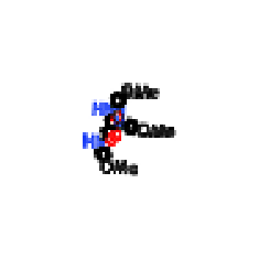 COc1ccc(NC(=O)CC(CC(=O)Nc2ccc(OC)cc2)C(=O)Nc2ccc(OC)cc2)cc1